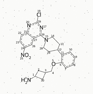 NC1CC(COc2ccccc2C2CCN(c3nc(Cl)nc4ccc([N+](=O)[O-])cc34)CC2)C1